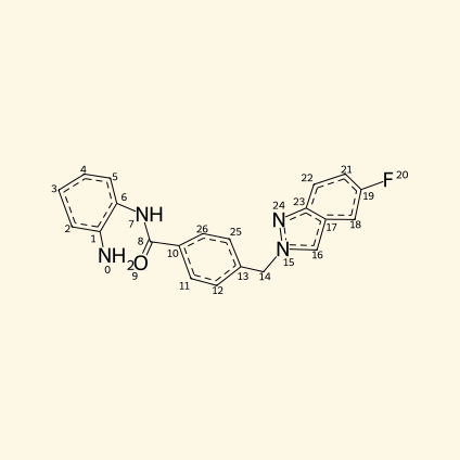 Nc1ccccc1NC(=O)c1ccc(Cn2cc3cc(F)ccc3n2)cc1